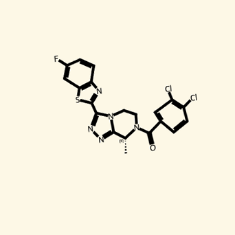 C[C@@H]1c2nnc(-c3nc4ccc(F)cc4s3)n2CCN1C(=O)c1ccc(Cl)c(Cl)c1